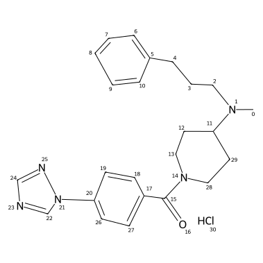 CN(CCCc1ccccc1)C1CCN(C(=O)c2ccc(-n3cncn3)cc2)CC1.Cl